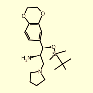 CC(C)(C)[Si](C)(C)O[C@H](c1ccc2c(c1)OCCO2)[C@H](N)CN1CCCC1